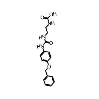 O=C(O)NCCNC(=O)Nc1ccc(OCc2ccccc2)cc1